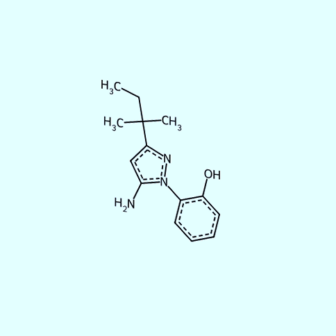 CCC(C)(C)c1cc(N)n(-c2ccccc2O)n1